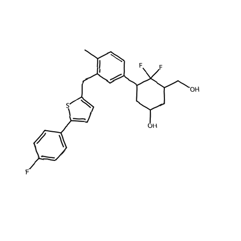 Cc1ccc(C2CC(O)CC(CO)C2(F)F)cc1Cc1ccc(-c2ccc(F)cc2)s1